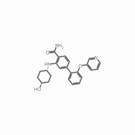 NC(=O)c1ccc(-c2ccccc2Oc2cccnc2)cc1N[C@H]1CC[C@H](O)CC1